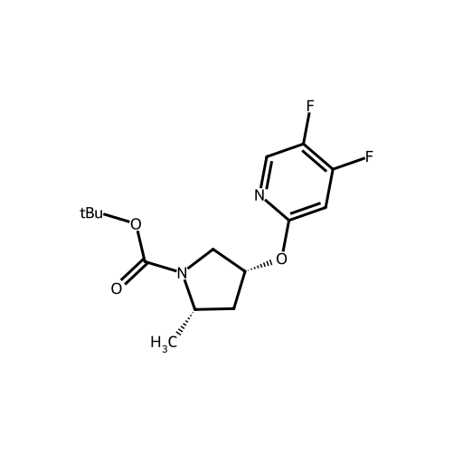 C[C@H]1C[C@@H](Oc2cc(F)c(F)cn2)CN1C(=O)OC(C)(C)C